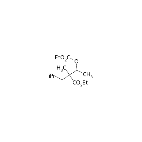 CCOC(=O)OC(C)C(C)(CC(C)C)C(=O)OCC